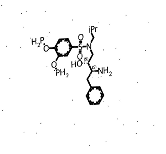 CC(C)CN(C[C@@H](O)[C@@H](N)Cc1ccccc1)S(=O)(=O)c1ccc(OP)c(OP)c1